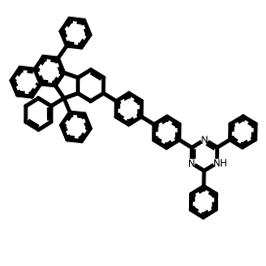 C1=CCCC(C2(c3ccccc3)c3c(c(-c4ccccc4)cc4ccccc34)C3C=CC(c4ccc(-c5ccc(C6=NC(c7ccccc7)NC(c7ccccc7)=N6)cc5)cc4)CC32)=C1